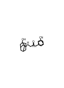 N#Cc1cccc(NC(=O)CNC23CC4CC(CC(O)(C4)C2)C3)c1